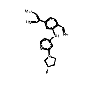 CN/C=C(\C=N)c1ccc(C=N)c(Nc2ccnc(N3CC[C@H](F)C3)c2)c1